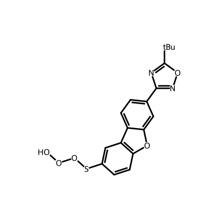 CC(C)(C)c1nc(-c2ccc3c(c2)oc2ccc(SOOO)cc23)no1